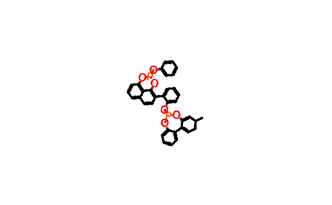 CC1C=c2op(Oc3ccccc3-c3ccc4cccc5c4c3OP(Oc3ccccc3)O5)oc3ccccc3c2=CC1